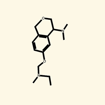 CCN(C)COc1ccc2c(c1)C(N(C)C)COC2